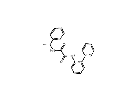 C[C@@H](NC(=O)C(=O)Nc1ccccc1-c1ccccc1)c1ccccc1